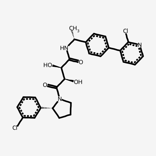 C[C@@H](NC(=O)[C@H](O)[C@@H](O)C(=O)N1CCC[C@@H]1c1cccc(Cl)c1)c1ccc(-c2cccnc2Cl)cc1